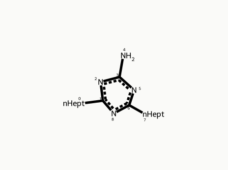 CCCCCCCc1nc(N)nc(CCCCCCC)n1